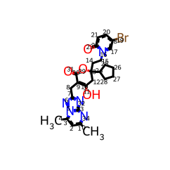 Cc1cc(C)n2nc(CC3=C(O)CC(CCn4cc(Br)ccc4=O)(C4CCCC4)OC3=O)nc2n1